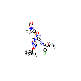 CC1(C)CC(c2ccc(Cl)cc2)=C(CN2CCN(c3ccc(C(=O)NS(=O)(=O)c4ccc(NC[C@H]5COCCO5)c([N+](=O)[O-])c4)c(N4CCCOc5nc6c(ccn6COCC[Si](C)(C)C)cc54)c3)CC2)CO1